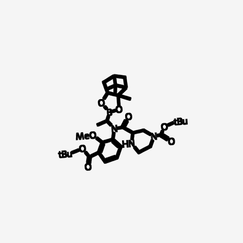 COc1c(C(=O)OC(C)(C)C)cccc1N(C(=O)C1CN(C(=O)OC(C)(C)C)CCN1)C(C)B1OC2CC3CC(C3(C)C)C2(C)O1